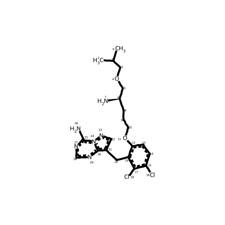 CC(C)COC[C@H](N)CCCOc1ccc(Cl)c(Cl)c1Cc1cnn2c(N)ncnc12